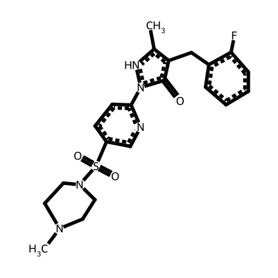 Cc1[nH]n(-c2ccc(S(=O)(=O)N3CCN(C)CC3)cn2)c(=O)c1Cc1ccccc1F